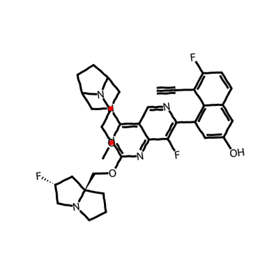 C#Cc1c(F)ccc2cc(O)cc(-c3ncc4c(N5CC6CCC(C5)N6CCOC)nc(OC[C@@]56CCCN5C[C@H](F)C6)nc4c3F)c12